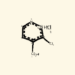 Cl.O=C(O)c1ccnnc1Cl